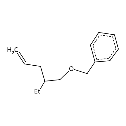 C=CCC(CC)COCc1ccccc1